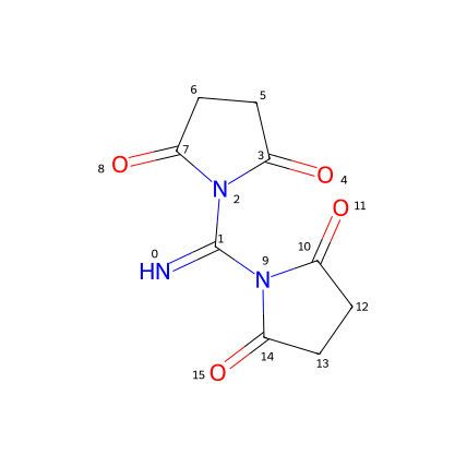 N=C(N1C(=O)CCC1=O)N1C(=O)CCC1=O